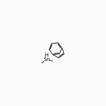 C1=Cc2cccc1c2.[CH3][SnH]([CH3])[CH3]